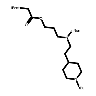 CCCCCCCCCN(CCCOC(=O)CC(C)CCC)CCC1CCN(C(C)(C)C)CC1